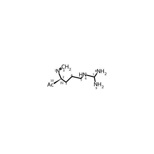 C=N[C@@H](CCCNC(N)N)C(C)=O